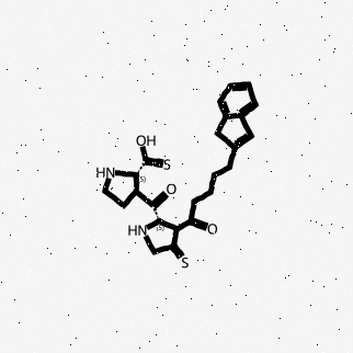 O=C(CCCCC1=Cc2ccccc2C1)C1C(=S)CN[C@@H]1C(=O)C1CCN[C@@H]1C(O)=S